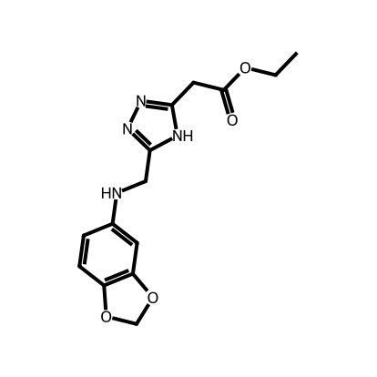 CCOC(=O)Cc1nnc(CNc2ccc3c(c2)OCO3)[nH]1